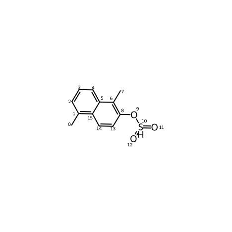 Cc1cccc2c(C)c(O[SH](=O)=O)ccc12